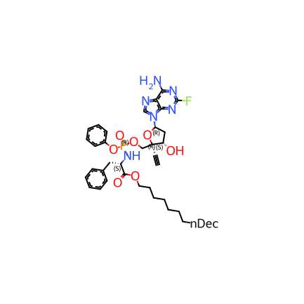 C#C[C@]1(CO[P@](=O)(N[C@@H](Cc2ccccc2)C(=O)OCCCCCCCCCCCCCCCCC)Oc2ccccc2)O[C@@H](n2cnc3c(N)nc(F)nc32)C[C@@H]1O